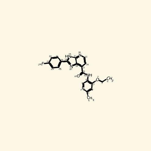 CCOc1cc(C)ncc1NC(=O)c1ccnc2[nH]c(-c3ccc(F)cc3)nc12